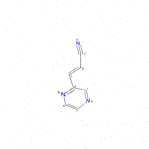 N#CC=Cc1cnccn1